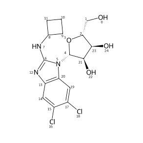 OC[C@H]1O[C@@H](n2c(NC3CCC3)nc3cc(Cl)c(Cl)cc32)[C@H](O)[C@@H]1O